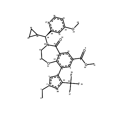 CCn1cc(-c2cc(C(=O)OC)cc3c2OCCN([C@H](c2cc(OC)ccn2)C2CC2)C3=O)c(C(F)(F)F)n1